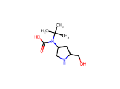 CC(C)(C)N(C(=O)O)C1CNC(CO)C1